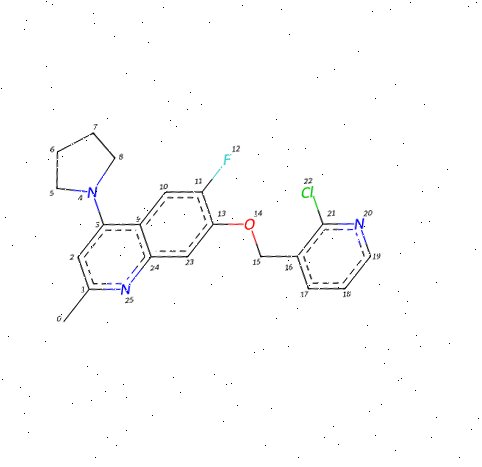 Cc1cc(N2CCCC2)c2cc(F)c(OCc3cccnc3Cl)cc2n1